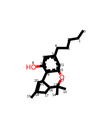 CCCCCc1cc(O)c2c(c1)OC(C)(C)C1CC(C)=CC21